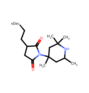 CCCCCCCCCCCCC1CC(=O)N(C2(C)CC(C)NC(C)(C)C2)C1=O